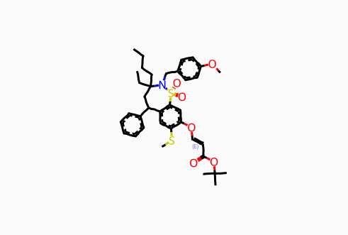 CCCCC1(CC)CC(c2ccccc2)c2cc(SC)c(O/C=C/C(=O)OC(C)(C)C)cc2S(=O)(=O)N1Cc1ccc(OC)cc1